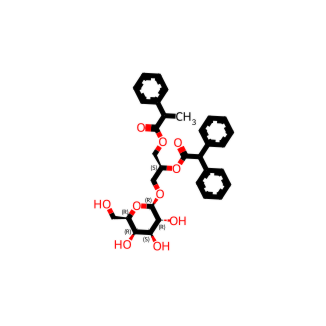 CC(C(=O)OC[C@H](CO[C@@H]1O[C@H](CO)[C@H](O)[C@H](O)[C@H]1O)OC(=O)C(c1ccccc1)c1ccccc1)c1ccccc1